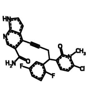 Cn1c(Cl)ccc(C(CC#Cc2c(C(N)=O)cnc3[nH]ccc23)c2cc(F)ccc2F)c1=O